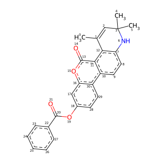 CC1=CC(C)(C)Nc2ccc3c(c21)c(=O)oc1cc(OC(=O)c2ccccc2)ccc13